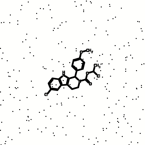 COc1ccc(C2c3[nH]c4ccc(Cl)cc4c3CCN2C(=O)OC(C)Cl)cc1